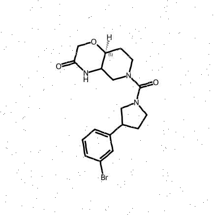 O=C1CO[C@H]2CCN(C(=O)N3CCC(c4cccc(Br)c4)C3)CC2N1